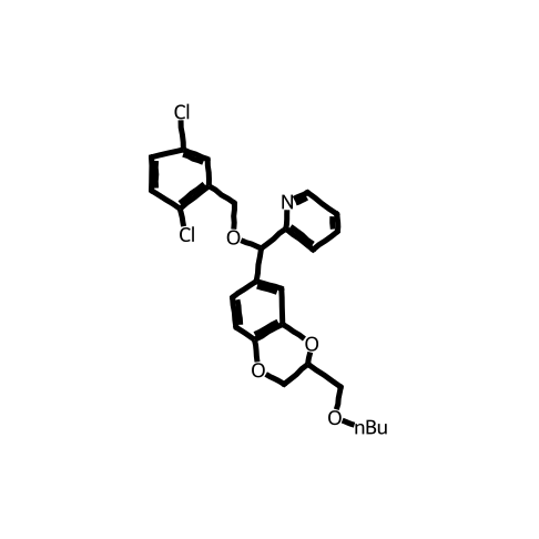 CCCCOCC1COc2ccc(C(OCc3cc(Cl)ccc3Cl)c3ccccn3)cc2O1